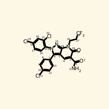 NC(=O)c1cc2c(-c3ccc(Cl)cc3)n(-c3ccc(Cl)cc3Cl)nc2n(CCC(F)(F)F)c1=O